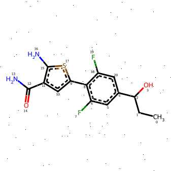 CCC(O)c1cc(F)c(-c2cc(C(N)=O)c(N)s2)c(F)c1